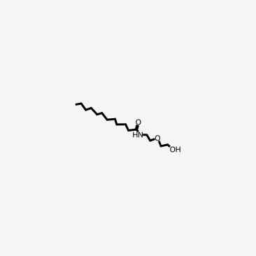 CCCCCCCCCCCC(=O)NCCOCCO